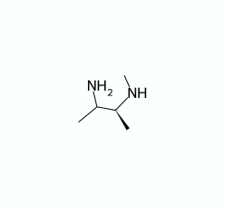 CN[C@@H](C)C(C)N